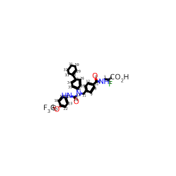 O=C(NCC(F)C(=O)O)c1ccc(CN(C(=O)Nc2ccc(OC(F)(F)F)cc2)c2ccc(C3=CCCCC3)cc2)cc1